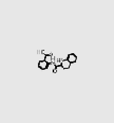 O=C(O)c1ccccc1NC(=O)C1CCc2ccccc2N1